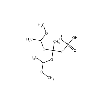 COC(C)OC(C)(OC(C)OC)OP(=O)(O)O